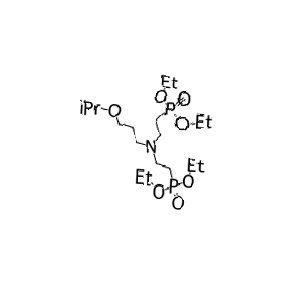 CCOP(=O)(CCN(CCCOC(C)C)CCP(=O)(OCC)OCC)OCC